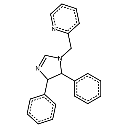 C1=NC(c2ccccc2)C(c2ccccc2)N1Cc1ccccn1